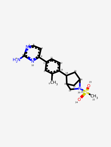 Cc1cc(-c2ccnc(N)n2)ccc1C1CC2CC1CN2S(C)(=O)=O